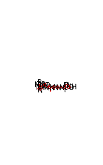 CCc1cc(Nc2ncc(Br)c(Nc3ccc4nccnc4c3P(C)(C)=O)n2)c(OC)cc1N1CCC(N2CCN(C3CN(c4cc(F)c(C5CCC(=O)NC5=O)c(F)c4)C3)CC2)CC1